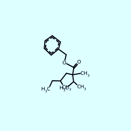 CCC(C)CC(C)(C(=O)OCc1ccccc1)C(C)C